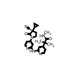 CNC(=O)C(C)(C)c1ccnc(Nc2cc(N3CC[C@@](C#N)(C4CC4)C3=O)ccn2)c1